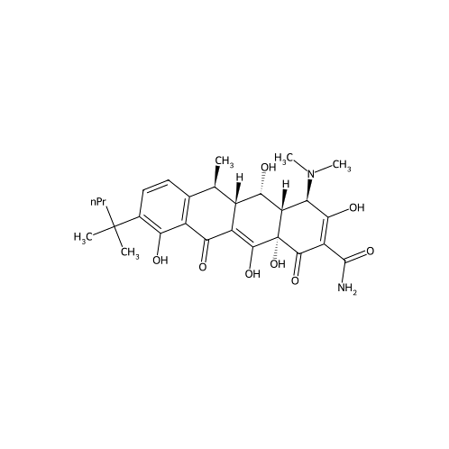 CCCC(C)(C)c1ccc2c(c1O)C(=O)C1=C(O)[C@]3(O)C(=O)C(C(N)=O)=C(O)[C@H](N(C)C)[C@H]3[C@@H](O)[C@H]1[C@@H]2C